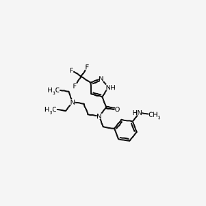 CCN(CC)CCN(Cc1cccc(NC)c1)C(=O)c1cc(C(F)(F)F)n[nH]1